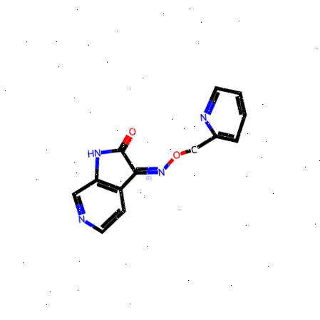 O=C1Nc2cnccc2/C1=N/OCc1ccccn1